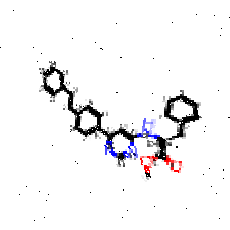 COC(=O)[C@H](Cc1ccccc1)Nc1cc(-c2ccc(C=Cc3ccccc3)cc2)ncn1